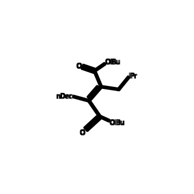 CCCCCCCCCCC(C(=O)OCC(C)C)=C(CC(C)C)C(=O)OCC(C)C